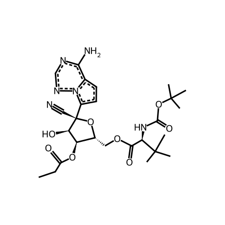 CCC(=O)O[C@H]1[C@@H](O)[C@](C#N)(c2ccc3c(N)ncnn23)O[C@@H]1COC(=O)[C@@H](NC(=O)OC(C)(C)C)C(C)(C)C